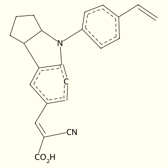 C=Cc1ccc(N2c3ccc(/C=C(\C#N)C(=O)O)cc3C3CCCC32)cc1